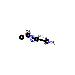 Cc1cc(Nc2ncnc3cc(C#CC4[C@H]5CN(C)C[C@@H]45)c([N+](=O)[O-])cc23)ccc1Oc1ccccc1